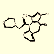 Cc1cn(C)c2c1N(C(=O)CN1CCOCC1)c1ccccc1CC2=O